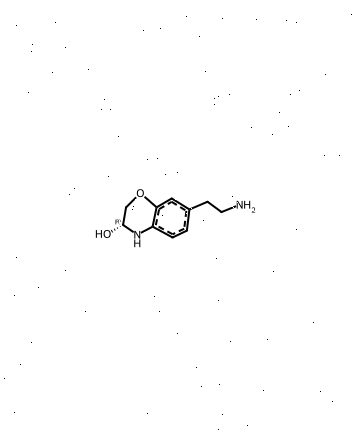 NCCc1ccc2c(c1)OC[C@@H](O)N2